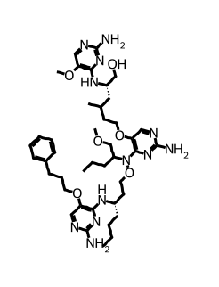 CCCC[C@@H](CCON(c1nc(N)ncc1OCCC(C)C[C@@H](CO)Nc1nc(N)ncc1OC)C(CCC)COC)Nc1nc(N)ncc1OCCCc1ccccc1